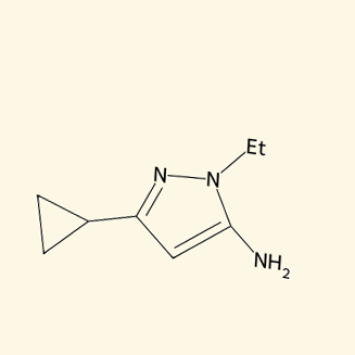 CCn1nc(C2CC2)cc1N